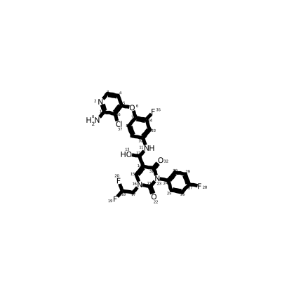 Nc1nccc(Oc2ccc(NC(O)c3cn(CC(F)F)c(=O)n(-c4ccc(F)cc4)c3=O)cc2F)c1Cl